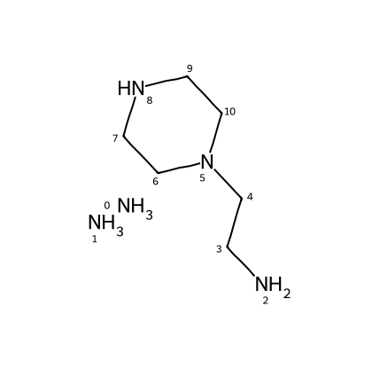 N.N.NCCN1CCNCC1